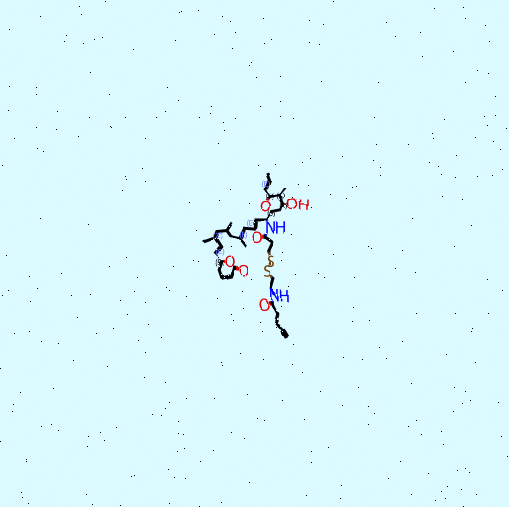 C#CCCC(=O)NCCSSCCC(=O)NC(/C=C/C=C(\C)CC(C)/C=C(C)\C=C\[C@H]1CC=CC(=O)O1)[C@@H]1C[C@@H](O)[C@H](C)[C@H](/C=C/C)O1